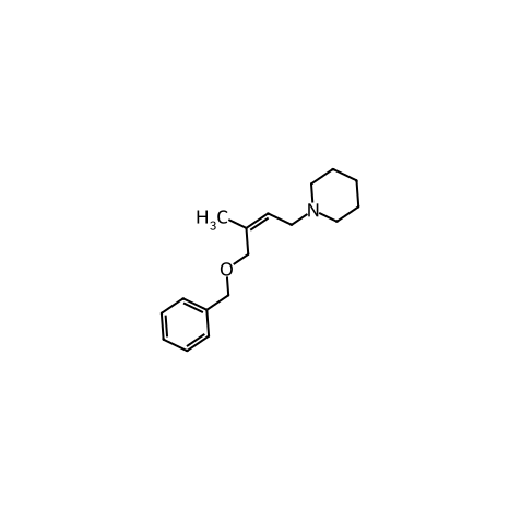 CC(=CCN1CCCCC1)COCc1ccccc1